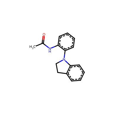 CC(=O)Nc1ccccc1N1CCc2ccccc21